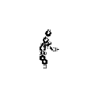 CCOC(=O)NC1(CN2CCN(S(=O)(=O)c3ccc4cc(Cl)ccc4c3)CC2=O)CCN(c2ccncc2)CC1.Cl